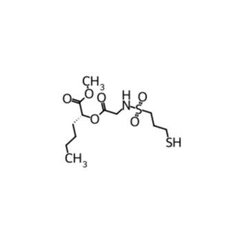 CCCC[C@@H](OC(=O)CNS(=O)(=O)CCCS)C(=O)OC